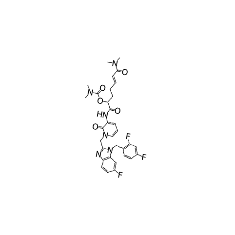 CN(C)C(=O)C=CCCC(OC(=O)N(C)C)C(=O)Nc1cccn(Cc2nc3ccc(F)cc3n2Cc2ccc(F)cc2F)c1=O